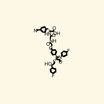 N#Cc1ccc(C[C@@H](NC(=O)CNC(=O)COc2ccc([C@@H]3[C@@H](SCC(O)c4ccc(F)cc4)C(=O)N3c3ccc(F)cc3)cc2)C(=O)O)cc1